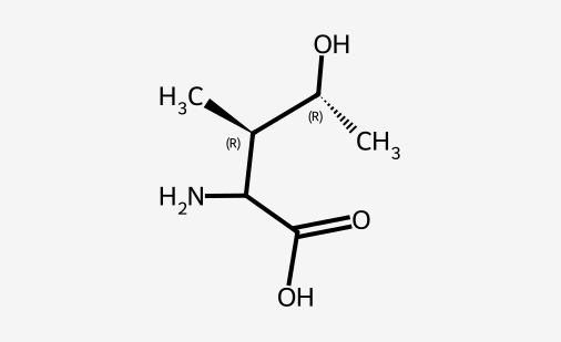 C[C@H](C(N)C(=O)O)[C@@H](C)O